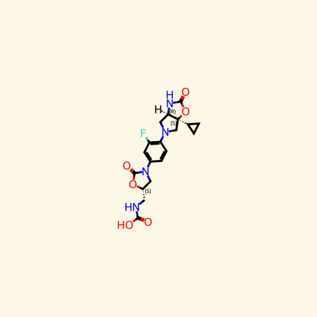 O=C(O)NC[C@H]1CN(c2ccc(N3C[C@H]4NC(=O)O[C@@]4(C4CC4)C3)c(F)c2)C(=O)O1